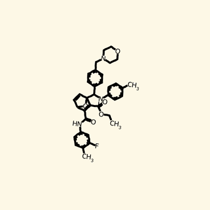 CCOC(=O)C1=C(C(=O)Nc2ccc(C)c(F)c2)C2C=CC1(C(Nc1ccc(C)cc1)c1ccc(CN3CCOCC3)cc1)O2